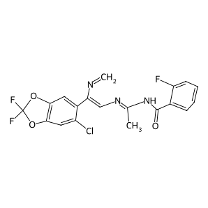 C=N/C(=C\N=C(/C)NC(=O)c1ccccc1F)c1cc2c(cc1Cl)OC(F)(F)O2